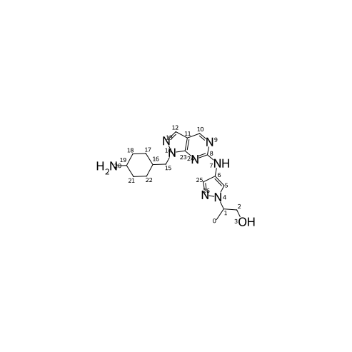 CC(CO)n1cc(Nc2ncc3cnn(CC4CCC(N)CC4)c3n2)cn1